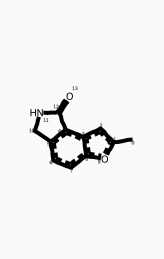 Cc1cc2c3c(ccc2o1)CNC3=O